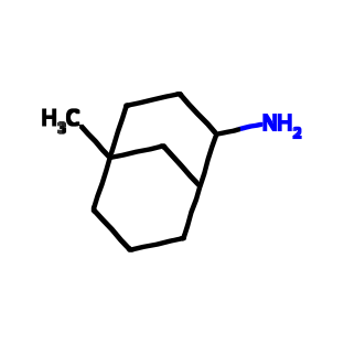 CC12CCCC(C1)C(N)CC2